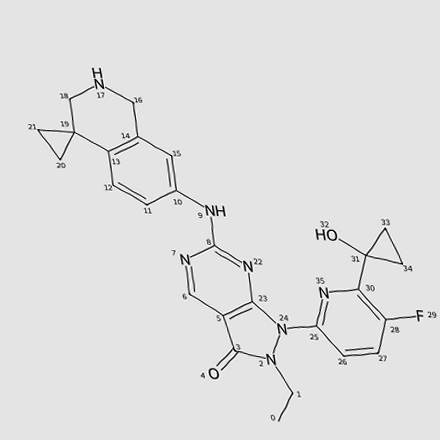 CCn1c(=O)c2cnc(Nc3ccc4c(c3)CNCC43CC3)nc2n1-c1ccc(F)c(C2(O)CC2)n1